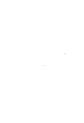 C=CC(=O)NC(=O)CN1C(=O)C2=C(c3ccccc3CC2=O)S1(=O)=O